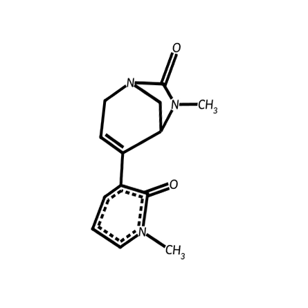 CN1C(=O)N2CC=C(c3cccn(C)c3=O)C1C2